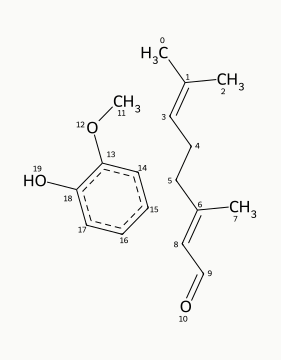 CC(C)=CCC/C(C)=C/C=O.COc1ccccc1O